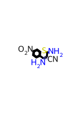 N#C/C(C(N)=S)=C(\N)c1ccc([N+](=O)[O-])cc1